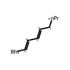 CCCCC=CC=[CH][Rh]